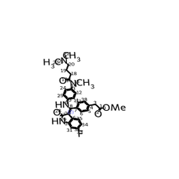 COC(=O)Cc1ccc(/C(Nc2ccc(N(C)C(=O)CCCN(C)C)cc2)=C2/C(=O)Nc3cc(F)ccc32)cc1